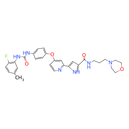 Cc1ccc(F)c(NC(=O)Nc2ccc(Oc3ccnc(-c4cc(C(=O)NCCCN5CCOCC5)c[nH]4)c3)cc2)c1